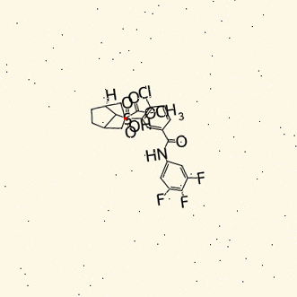 COC(=O)[C@]1(O)CC2CC[C@@H](C1)C2S(=O)(=O)c1cc(C(=O)Nc2cc(F)c(F)c(F)c2)ccc1Cl